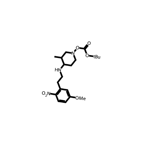 COc1ccc([N+](=O)[O-])c(CCNC2CCN(OC(=O)OC(C)(C)C)CC2C)c1